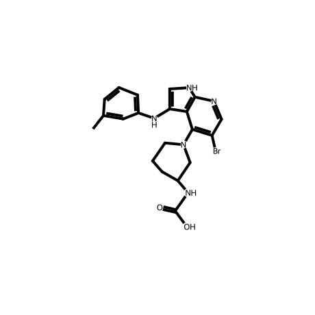 Cc1cccc(Nc2c[nH]c3ncc(Br)c(N4CCCC(NC(=O)O)C4)c23)c1